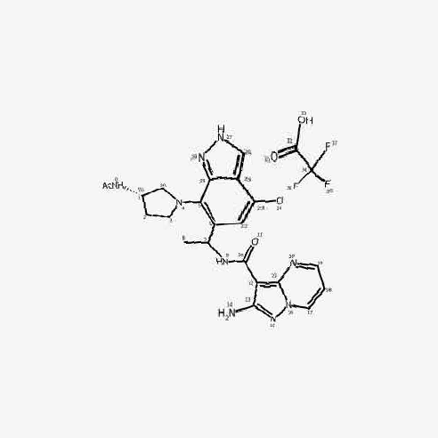 CC(=O)N[C@H]1CCN(c2c(C(C)NC(=O)c3c(N)nn4cccnc34)cc(Cl)c3c[nH]nc23)C1.O=C(O)C(F)(F)F